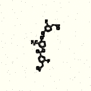 O=C(Oc1ccc(OCOc2ccc(CC3CO3)c(F)c2)c(C(F)(F)F)c1)c1ccc(CC2CO2)c(F)c1